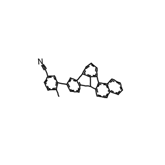 Cc1ccc(C#N)cc1-c1ccc2c(c1)-c1cccc3c1C2c1ccc2ccccc2c1-3